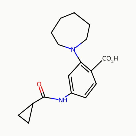 O=C(O)c1ccc(NC(=O)C2CC2)cc1N1CCCCCC1